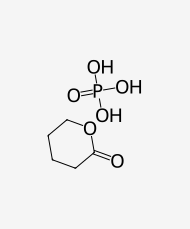 O=C1CCCCO1.O=P(O)(O)O